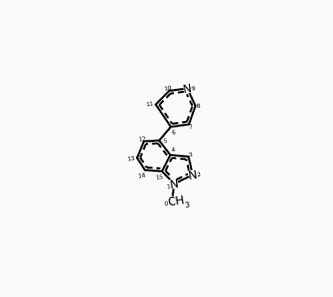 Cn1ncc2c(-c3ccncc3)cccc21